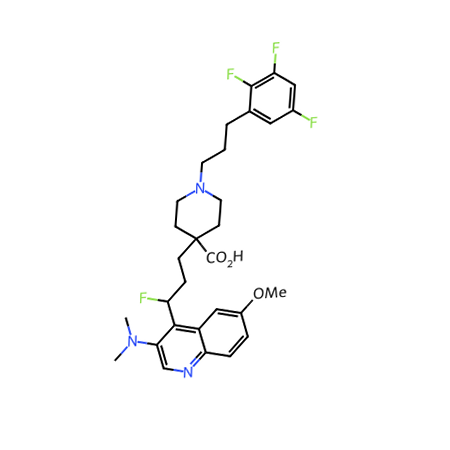 COc1ccc2ncc(N(C)C)c(C(F)CCC3(C(=O)O)CCN(CCCc4cc(F)cc(F)c4F)CC3)c2c1